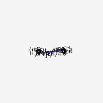 CC1=C(/C=C/C(C)=C/C=C/C(C)=C/C=C/C=C(C)/C=C/C=C(C)/C=C/C2=C(C)C(=O)C(O)=CC2(C)C)C(C)(C)C=C(O)C1=O